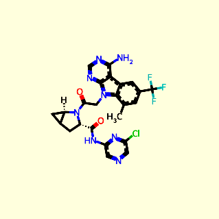 Cc1cc(C(F)(F)F)cc2c3c(N)ncnc3n(CC(=O)N3[C@@H]4CC4C[C@H]3C(=O)Nc3cncc(Cl)n3)c12